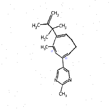 C=C(C)C(C)(C)C1=CCC/C=C(c2cnc(C)nc2)\C=C/1C